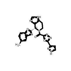 Cc1ccc2oc([C@@H]3c4nc[nH]c4CCN3C(=O)c3nnc(-c4cc[nH]n4)o3)nc2c1